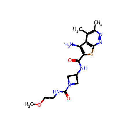 COCCNC(=O)N1CC(NC(=O)c2sc3nnc(C)c(C)c3c2N)C1